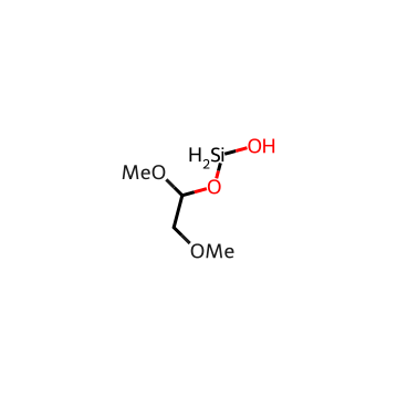 COCC(OC)O[SiH2]O